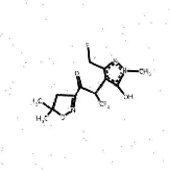 Cn1nc(CF)c(C(C(=O)C2=NOC(C)(C)C2)C(F)(F)F)c1O